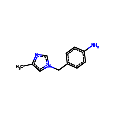 Cc1cn(Cc2ccc(N)cc2)cn1